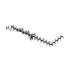 CCCCCCCC/C=C\CCCCCCCCCCCC(=O)NCCCNCCCNCCCN